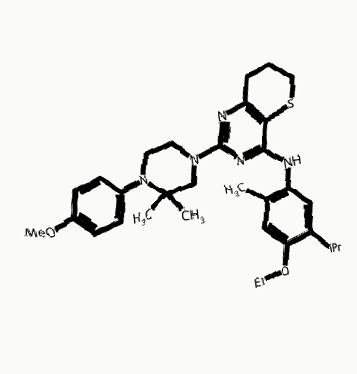 CCOc1cc(C)c(Nc2nc(N3CCN(c4ccc(OC)cc4)C(C)(C)C3)nc3c2SCCC3)cc1C(C)C